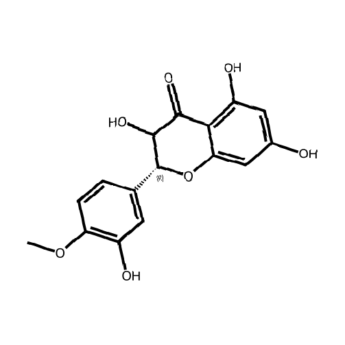 COc1ccc([C@H]2Oc3cc(O)cc(O)c3C(=O)C2O)cc1O